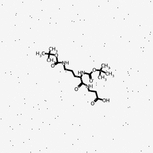 CC(C)(C)OC(=O)NCCCC(NC(=O)OC(C)(C)C)C(=O)NCCC(=O)O